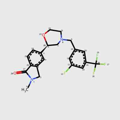 CN1Cc2cc([C@@H]3CN(Cc4cc(F)cc(C(F)(F)F)c4)CCO3)ccc2C1=O